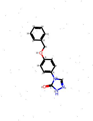 O=c1[nH]ncn1-c1ccc(OCc2ccccc2)cc1